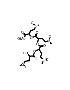 COC(=O)C(CC[S+](C)[O-])OC(=O)C(CC[S+](C)[O-])OC(=O)C(CC[S+](C)[O-])OC(=O)C(O)CC[S+](C)[O-]